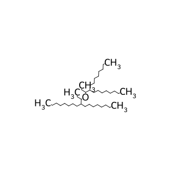 CCCCCCCCC(CCCCCCCC)C(CC)OC(CC)C(CCCCCCCC)CCCCCCCC